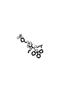 C=CCN1C(=O)C([C@@H](C)OC(=O)OCc2ccc([N+](=O)[O-])cc2)C1[C@H](COC(c1ccccc1)(c1ccccc1)c1ccccc1)OCCC(C)C